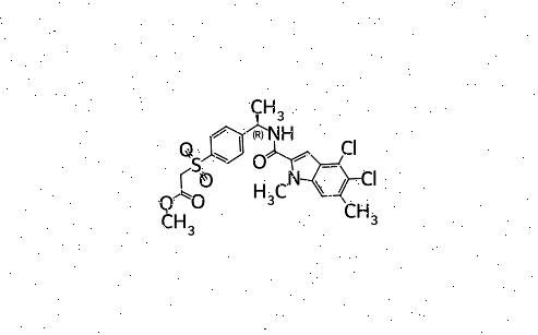 COC(=O)CS(=O)(=O)c1ccc([C@@H](C)NC(=O)c2cc3c(Cl)c(Cl)c(C)cc3n2C)cc1